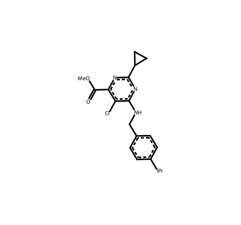 COC(=O)c1nc(C2CC2)nc(NCc2ccc(C(C)C)cc2)c1Cl